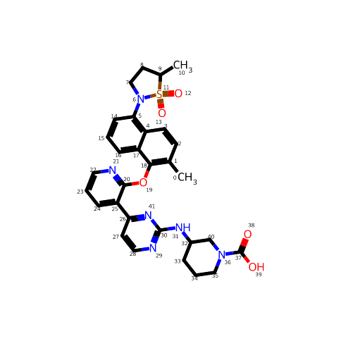 Cc1ccc2c(N3CCC(C)S3(=O)=O)cccc2c1Oc1ncccc1-c1ccnc(NC2CCCN(C(=O)O)C2)n1